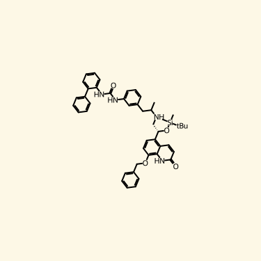 CC(Cc1cccc(NC(=O)Nc2ccccc2-c2ccccc2)c1)NC[C@H](O[Si](C)(C)C(C)(C)C)c1ccc(OCc2ccccc2)c2[nH]c(=O)ccc12